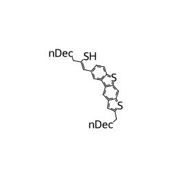 CCCCCCCCCCC/C(S)=C/c1ccc2sc3cc4sc(CCCCCCCCCCC)cc4cc3c2c1